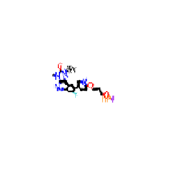 CC(C)n1c(=O)n(C)c2nnc3cc(F)c(-c4ccc(OCCCOPI)nc4)cc3c21